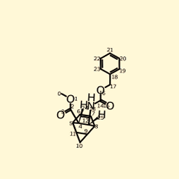 COC(=O)[C@H]1C2C=CC(C3CC32)[C@H]1NC(=O)OCc1ccccc1